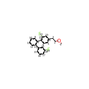 COCCc1ccc(-c2ccccc2-c2cccc(F)c2)c(F)c1